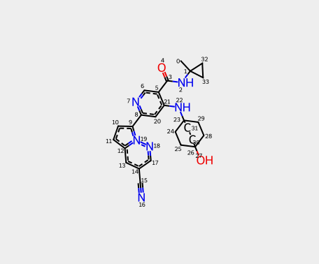 CC1(NC(=O)c2cnc(-c3ccc4cc(C#N)cnn34)cc2NC23CCC(O)(CC2)CC3)CC1